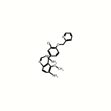 COc1c(N)ccc2c1C(N)(c1ccc(OCc3ccccn3)c(Cl)c1)NC=N2